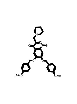 CCn1nc(CN2CCCCC2)c(=O)c2cc(OCc3ccc(OC)cc3)c(OCc3ccc(OC)cc3)cc21